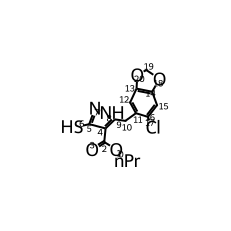 CCCOC(=O)c1c(S)n[nH]c1Cc1cc2c(cc1Cl)OCO2